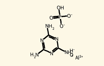 Nc1nc(N)nc(N)n1.O=P([O-])([O-])O.[Al+3].[OH-]